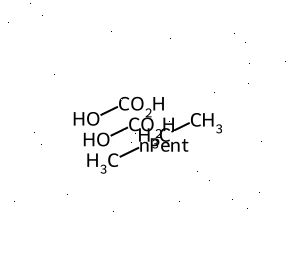 CC.CCCCCC.O=C(O)O.O=C(O)O